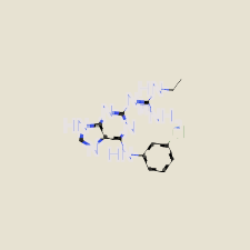 CCN/C(N)=N/c1nc(Nc2cccc(Cl)c2)c2nc[nH]c2n1